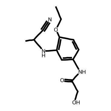 CCOc1ccc(NC(=O)CO)cc1NC(C)C#N